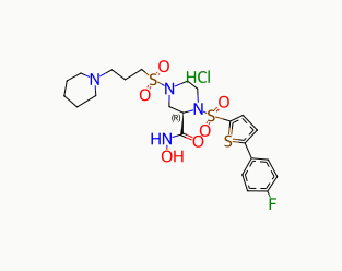 Cl.O=C(NO)[C@H]1CN(S(=O)(=O)CCCN2CCCCC2)CCN1S(=O)(=O)c1ccc(-c2ccc(F)cc2)s1